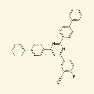 N#Cc1cc(-c2nc(-c3ccc(-c4ccccc4)cc3)nc(-c3ccc(-c4ccccc4)cc3)n2)ccc1F